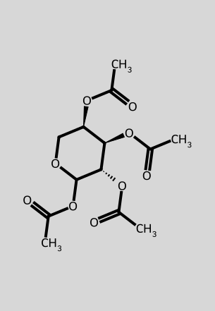 CC(=O)OC1OC[C@@H](OC(C)=O)[C@@H](OC(C)=O)[C@@H]1OC(C)=O